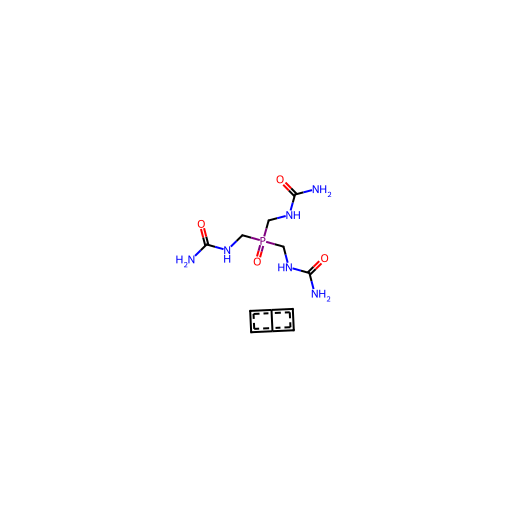 NC(=O)NCP(=O)(CNC(N)=O)CNC(N)=O.c1cc2ccc1-2